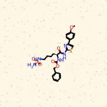 COc1ccc(-c2csc(NC(=O)[C@H](CCCCNS(N)(=O)=O)NC(=O)OCc3ccccc3)n2)cc1